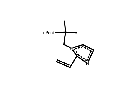 C=Cc1nccn1CC(C)(C)CCCCC